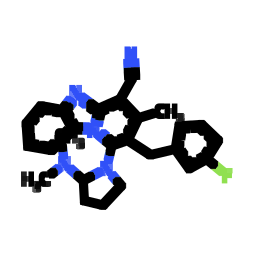 Cc1c(Cc2cccc(F)c2)c(N2CCCC2N(C)C)n2c(nc3ccccc32)c1C#N